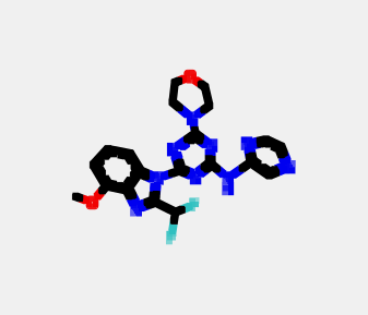 COc1cccc2c1nc(C(F)F)n2-c1nc(Nc2cnccn2)nc(N2CCOCC2)n1